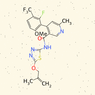 C=C(C)COc1nnc(NC(=O)c2cnc(C)cc2-c2c(OC)ccc(C(F)(F)F)c2F)s1